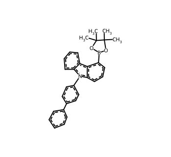 CC1(C)OB(c2cccc3c2c2ccccc2n3-c2ccc(-c3ccccc3)cc2)OC1(C)C